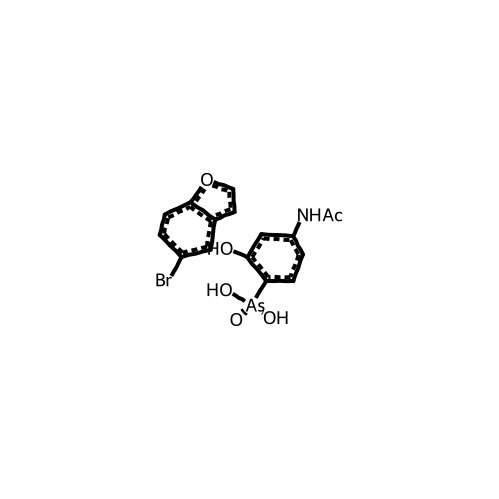 Brc1ccc2occc2c1.CC(=O)Nc1ccc([As](=O)(O)O)c(O)c1